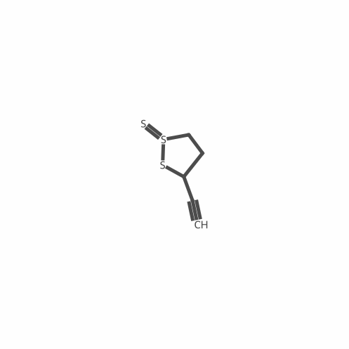 C#CC1CCS(=S)S1